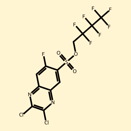 O=S(=O)(OCC(F)(F)C(F)(F)C(F)(F)F)c1cc2nc(Cl)c(Cl)nc2cc1F